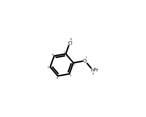 CCCOc1ccccc1Cl